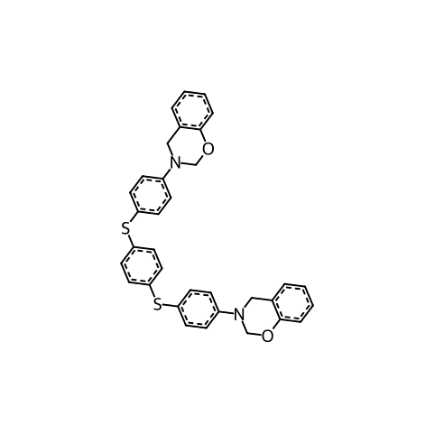 c1ccc2c(c1)CN(c1ccc(Sc3ccc(Sc4ccc(N5COc6ccccc6C5)cc4)cc3)cc1)CO2